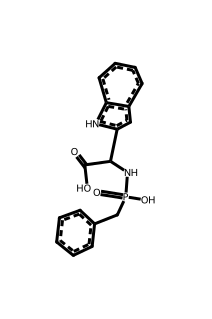 O=C(O)C(NP(=O)(O)Cc1ccccc1)c1cc2ccccc2[nH]1